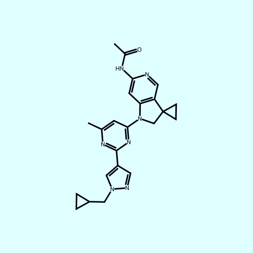 CC(=O)Nc1cc2c(cn1)C1(CC1)CN2c1cc(C)nc(-c2cnn(CC3CC3)c2)n1